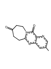 O=C1CCc2nc3cc(Br)cnc3c(=O)n2CC1